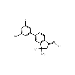 CC1(C)CC(=NO)c2ccc(-c3cc(F)cc(C#N)c3)cc21